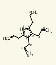 C=CCc1[nH]c(CC=C)c(CC=C)c1CC=C